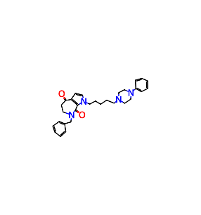 O=C1CCN(Cc2ccccc2)C(=O)c2c1ccn2CCCCCN1CCN(c2ccccc2)CC1